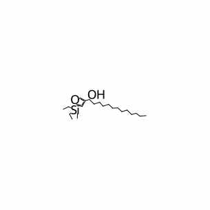 CCCCCCCCCCCCC(O)c1coc([Si](CC)(CC)CC)c1